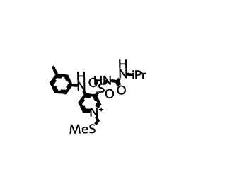 CSC[n+]1ccc(Nc2cccc(C)c2)c(S(=O)(=O)NC(=O)NC(C)C)c1